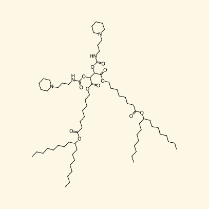 CCCCCCCCC(CCCCCCCC)OC(=O)CCCCCCCOC(=O)C(OC(=O)NCCCN1CCCCC1)C(OC(=O)NCCCN1CCCCC1)C(=O)OCCCCCCCC(=O)OC(CCCCCCCC)CCCCCCCC